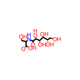 O=C(O)C(CO)NC(=O)[C@@H](O)[C@H](O)[C@@H](O)[C@@H](O)CO